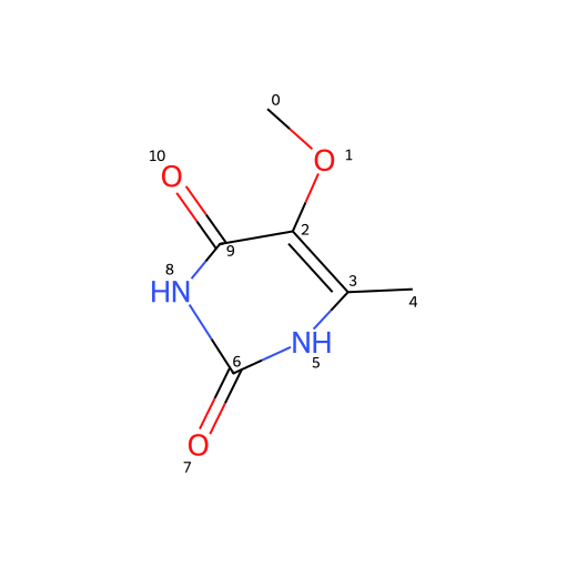 COc1c(C)[nH]c(=O)[nH]c1=O